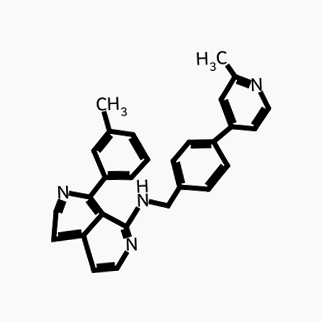 Cc1cccc(-c2nccc3ccnc(NCc4ccc(-c5ccnc(C)c5)cc4)c23)c1